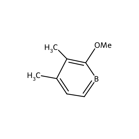 COc1bccc(C)c1C